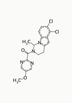 COc1cnc(C(=O)N2CCc3cc4c(Cl)c(Cl)ccc4n3C2C)nc1